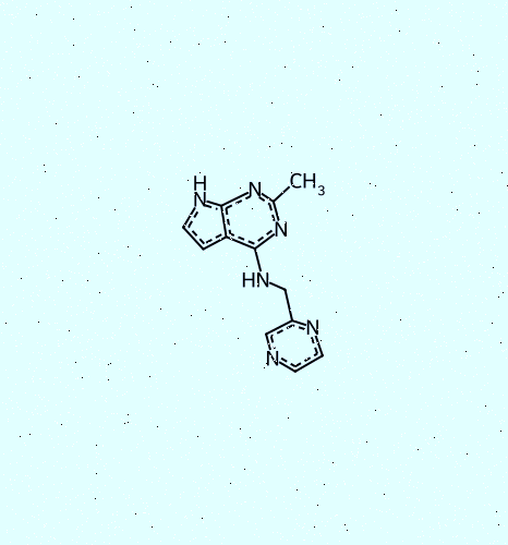 Cc1nc(NCc2cnccn2)c2cc[nH]c2n1